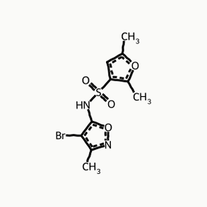 Cc1cc(S(=O)(=O)Nc2onc(C)c2Br)c(C)o1